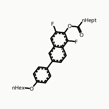 CCCCCCCC(=O)Oc1c(F)cc2cc(-c3ccc(OCCCCCC)cc3)ccc2c1F